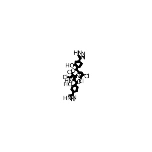 O=C(c1ccc(-c2c[nH]nn2)cc1O)c1[nH]c(Cl)c(Cl)c1-n1c(C(=O)c2ccc(-c3c[nH]nn3)cc2O)cc(Cl)c1Cl